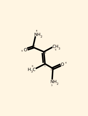 C/C(C(N)=O)=C(/C)C(N)=O